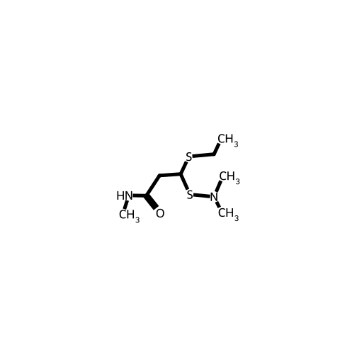 CCSC(CC(=O)NC)SN(C)C